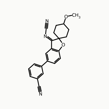 COC1CCC2(CC1)Oc1ccc(-c3cccc(C#N)c3)cc1/C2=N/C#N